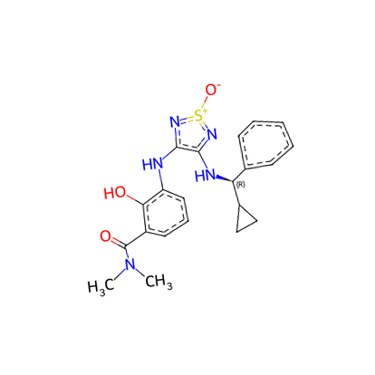 CN(C)C(=O)c1cccc(Nc2n[s+]([O-])nc2N[C@@H](c2ccccc2)C2CC2)c1O